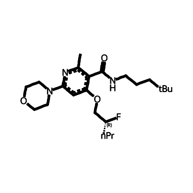 CCC[C@@H](F)COc1cc(N2CCOCC2)nc(C)c1C(=O)NCCCC(C)(C)C